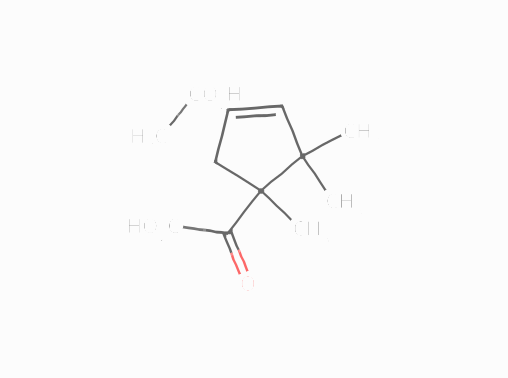 CC(=O)O.CC1(C)C=CCC1(C)C(=O)C(=O)O